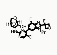 CC(C)n1c(C2(F)COC2)nc2c(F)cc(-c3nc(N[C@@H]4C[C@H]5CO[C@H](O5)[C@H]4O)ncc3Cl)cc21